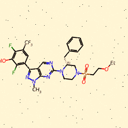 CCOCCS(=O)(=O)N1CCN(c2ncc3c(-c4cc(C(F)(F)F)c(F)c(O)c4F)nn(C)c3n2)[C@H](Cc2ccccc2)C1